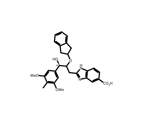 COc1cc([C@@H](O)C(Cc2nc3cc(C(=O)O)ccc3[nH]2)OC2Cc3ccccc3C2)cc(OC)c1C